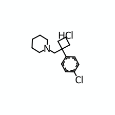 Cl.Clc1ccc(C2(CN3CCCCC3)CCC2)cc1